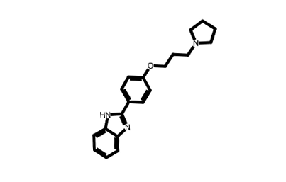 c1ccc2[nH]c(-c3ccc(OCCCN4CCCC4)cc3)nc2c1